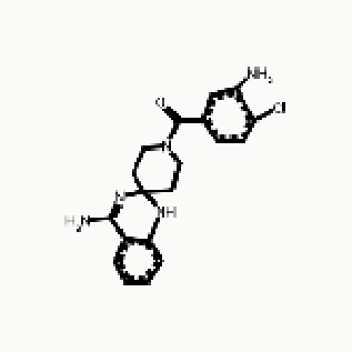 NC1=NC2(CCN(C(=O)c3ccc(Cl)c(N)c3)CC2)Nc2ccccc21